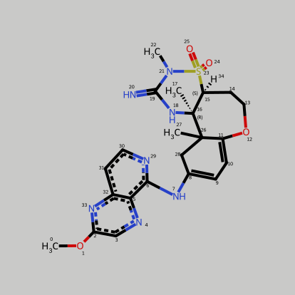 COc1cnc2c(NC3=CC=C4OCC[C@H]5[C@](C)(NC(=N)N(C)S5(=O)=O)C4(C)C3)nccc2n1